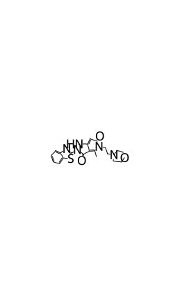 Cc1c2c(=O)n(-c3nc4ccccc4s3)[nH]c2cc(=O)n1CCN1CCOCC1